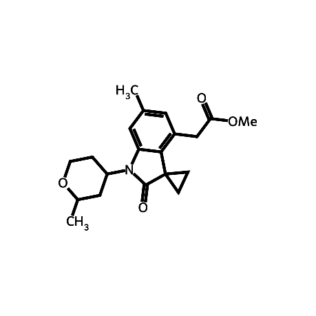 COC(=O)Cc1cc(C)cc2c1C1(CC1)C(=O)N2C1CCOC(C)C1